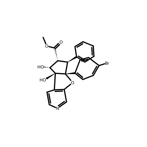 COC(=O)[C@H]1[C@@H](O)[C@@]2(O)c3ccncc3O[C@@]2(c2ccc(Br)cc2)[C@@H]1c1ccccc1